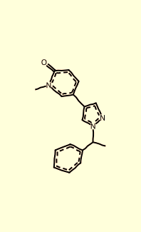 CC(c1ccccc1)n1cc(-c2ccc(=O)n(C)c2)cn1